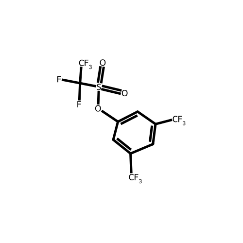 O=S(=O)(Oc1cc(C(F)(F)F)cc(C(F)(F)F)c1)C(F)(F)C(F)(F)F